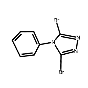 Brc1nnc(Br)n1-c1ccccc1